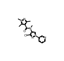 Cc1nn(C)c(C)c1C(=O)N(C)c1cn(-c2cccnc2)nc1Cl